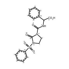 O=C(O)C(NC(=O)N1CCN(S(=O)(=O)c2ccccc2)C1=O)c1ccccc1